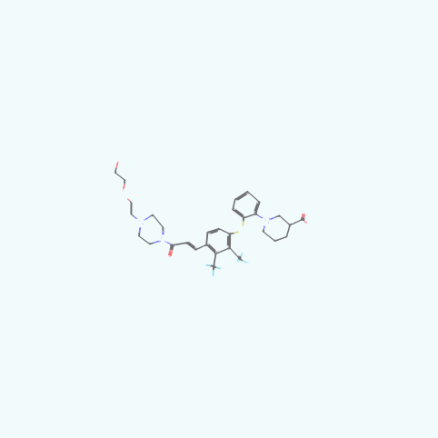 O=C(O)C1CCCN(c2ccccc2Sc2ccc(C=CC(=O)N3CCN(CCOCCO)CC3)c(C(F)(F)F)c2C(F)(F)F)C1